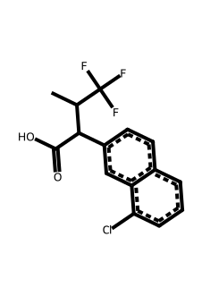 CC(C(C(=O)O)c1ccc2cccc(Cl)c2c1)C(F)(F)F